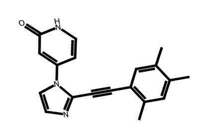 Cc1cc(C)c(C#Cc2nccn2-c2cc[nH]c(=O)c2)cc1C